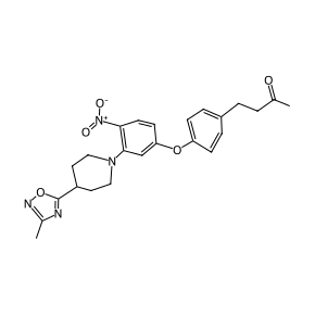 CC(=O)CCc1ccc(Oc2ccc([N+](=O)[O-])c(N3CCC(c4nc(C)no4)CC3)c2)cc1